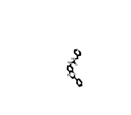 O=C(NCc1ccncc1)Nc1ccc2c(c1)OC(c1ccccc1)CN2